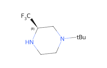 CC(C)(C)N1CCN[C@@H](C(F)(F)F)C1